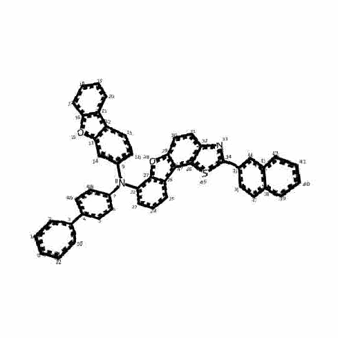 c1ccc(-c2ccc(N(c3ccc4c(c3)oc3ccccc34)c3cccc4c3oc3ccc5nc(-c6ccc7ccccc7c6)sc5c34)cc2)cc1